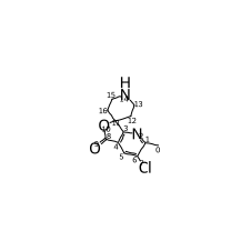 Cc1nc2c(cc1Cl)C(=O)OC21CCNCC1